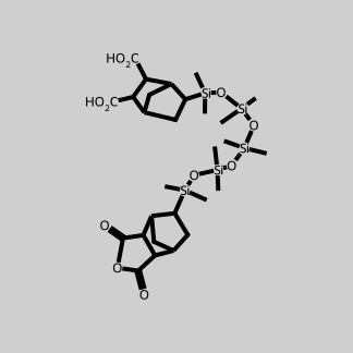 C[Si](C)(O[Si](C)(C)O[Si](C)(C)C1CC2CC1C(C(=O)O)C2C(=O)O)O[Si](C)(C)O[Si](C)(C)C1CC2CC1C1C(=O)OC(=O)C21